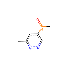 Cc1cc([PH](C)=O)cnn1